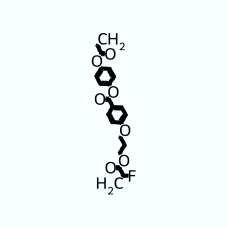 C=CC(=O)Oc1ccc(OC(=O)c2ccc(OCCCOC(=O)C(=C)F)cc2)cc1